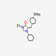 CCN1CN(c2ccccc2)/C(=C/c2ccc(SC)cc2)C1=O